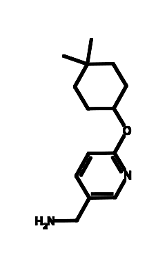 CC1(C)CCC(Oc2ccc(CN)cn2)CC1